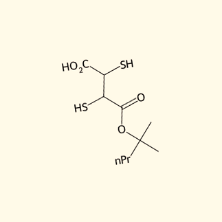 CCCC(C)(C)OC(=O)C(S)C(S)C(=O)O